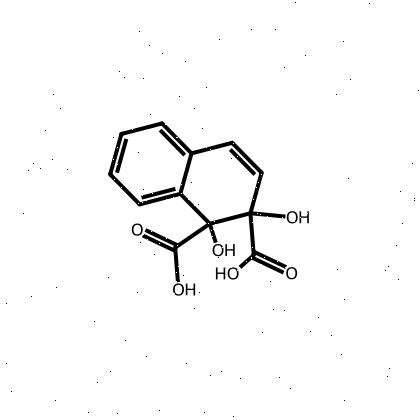 O=C(O)C1(O)C=Cc2ccccc2C1(O)C(=O)O